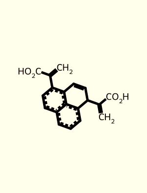 C=C(C(=O)O)c1ccc2cccc3c2c1C=CC3C(=C)C(=O)O